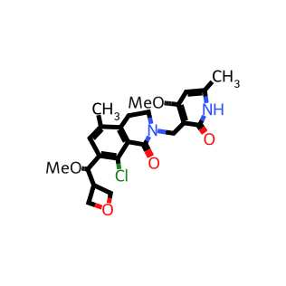 COc1cc(C)[nH]c(=O)c1CN1CCc2c(C)cc(C(OC)C3COC3)c(Cl)c2C1=O